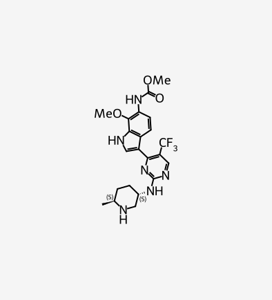 COC(=O)Nc1ccc2c(-c3nc(N[C@H]4CC[C@H](C)NC4)ncc3C(F)(F)F)c[nH]c2c1OC